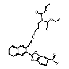 CCOC(=O)C(CCCCCOc1cc2ccccc2cc1-c1nc2ccc([N+](=O)[O-])cc2o1)C(=O)OCC